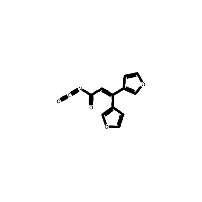 O=C=NC(=O)C=C(c1ccoc1)c1ccoc1